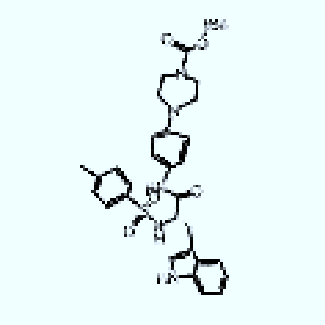 Cc1ccc(S(=O)(=O)N[C@@H](Cc2c[nH]c3ccccc23)C(=O)Nc2ccc(N3CCN(C(=O)OC(C)(C)C)CC3)cc2)cc1